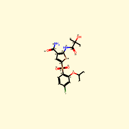 CC(C)Oc1cc(F)ccc1S(=O)(=O)c1cc(C(N)=O)c(NC(=O)C(C)(C)O)s1